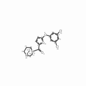 O=C(c1ccc(Oc2cc(Cl)cc(Cl)c2)o1)N1CCN2CCC1CC2